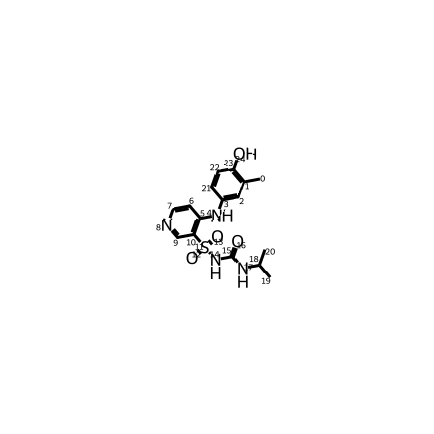 Cc1cc(Nc2ccncc2S(=O)(=O)NC(=O)NC(C)C)ccc1O